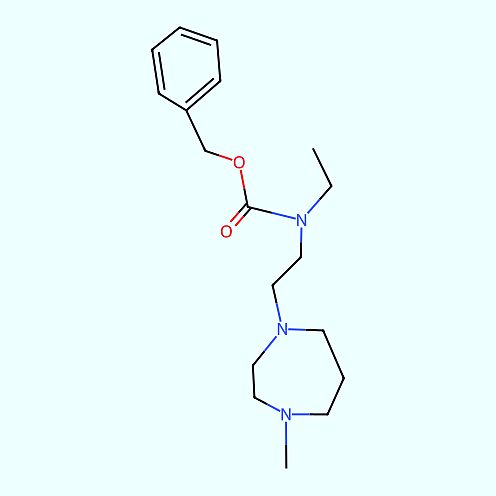 CCN(CCN1CCCN(C)CC1)C(=O)OCc1ccccc1